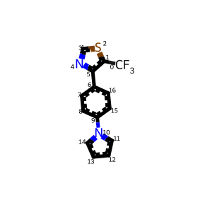 FC(F)(F)c1s[c]nc1-c1ccc(-n2cccc2)cc1